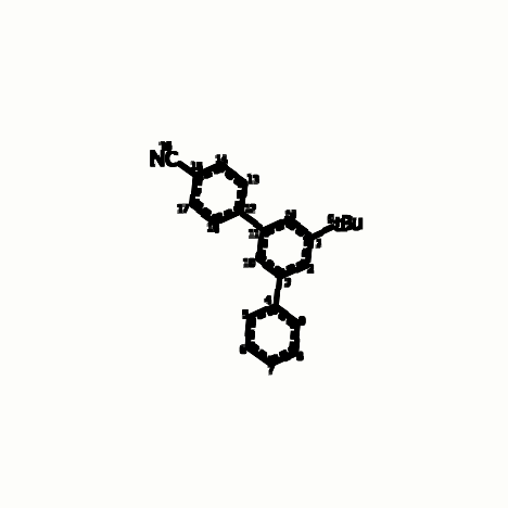 CC(C)(C)c1cc(-c2ccccc2)cc(-c2ccc(C#N)cc2)c1